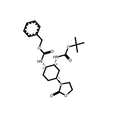 CC(C)(C)OC(=O)N[C@@H]1C[C@@H](N2CCOC2=O)CC[C@@H]1NC(=O)OCc1ccccc1